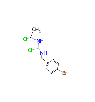 CC(Cl)NC(Cl)NCc1ccc(Br)cc1